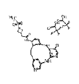 CS(=O)(=O)N1CC(CC(=O)Nc2ccc3cc2CCc2cncc(c2)Nc2ncc(Cl)c(n2)N3)C1.O=C(O)C(F)(F)F.O=C(O)C(F)(F)F